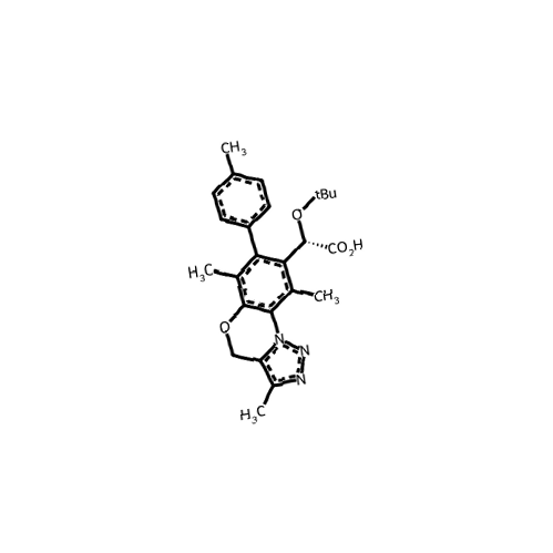 Cc1ccc(-c2c(C)c3c(c(C)c2[C@H](OC(C)(C)C)C(=O)O)-n2nnc(C)c2CO3)cc1